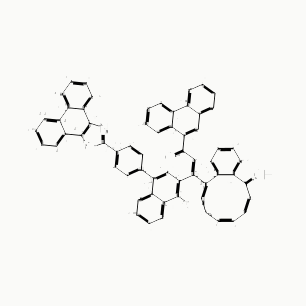 C=C1/C=C\C=C/C/C=C(/C(=C/C(=C)c2cc3ccccc3c3ccccc23)c2cc(-c3ccc(-c4nc5c6ccccc6c6ccccc6c5o4)cc3)c3ccccc3c2C)c2ccccc21